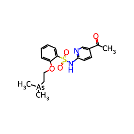 CC(=O)c1ccc(NS(=O)(=O)c2ccccc2OCC[As](C)C)nc1